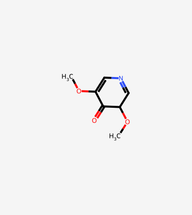 COC1=CN=CC(OC)C1=O